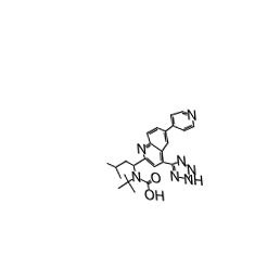 CC(C)CC(c1cc(-c2nn[nH]n2)c2cc(-c3ccncc3)ccc2n1)N(C(=O)O)C(C)(C)C